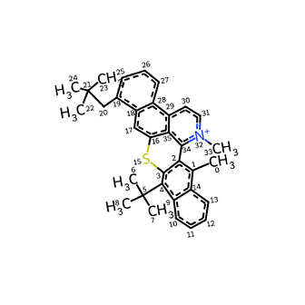 Cc1c2c(c(C(C)(C)C)c3ccccc13)Sc1cc3c(CC(C)(C)C)cccc3c3cc[n+](C)c-2c13